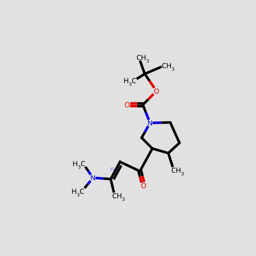 C/C(=C\C(=O)C1CN(C(=O)OC(C)(C)C)CCC1C)N(C)C